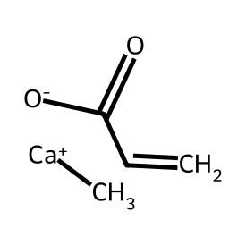 C=CC(=O)[O-].[CH3][Ca+]